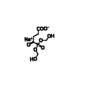 O=C([O-])CCC(=O)P(=O)(OCO)OCO.[Na+]